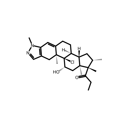 CCC(=O)[C@@]1(C)[C@@H](C)C[C@H]2[C@@H]3CCC4=Cc5c(cnn5C)C[C@]4(C)[C@@]3(Cl)[C@@H](O)C[C@@]21C